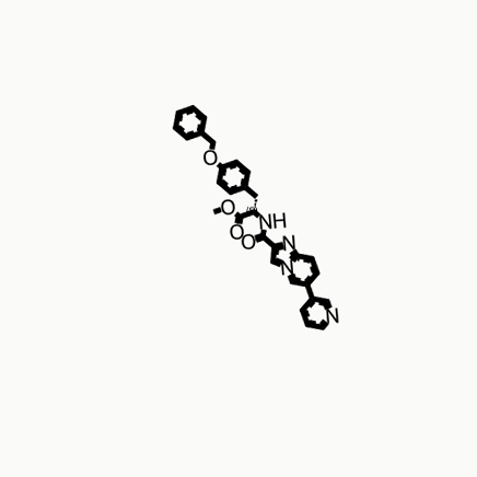 COC(=O)[C@H](Cc1ccc(OCc2ccccc2)cc1)NC(=O)c1cn2cc(-c3cccnc3)ccc2n1